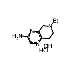 CCN1CCc2ncc(N)nc2C1.Cl.Cl